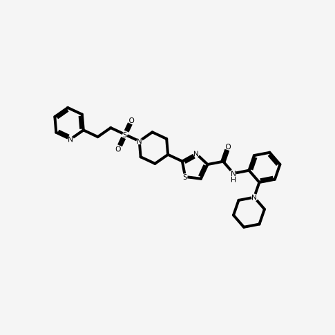 O=C(Nc1ccccc1N1CCCCC1)c1csc(C2CCN(S(=O)(=O)CCc3ccccn3)CC2)n1